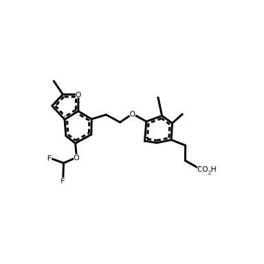 Cc1cc2cc(OC(F)F)cc(CCOc3ccc(CCC(=O)O)c(C)c3C)c2o1